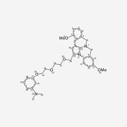 COc1cccc(CN(Cc2cccc(OC)c2)c2nc(COCCOCCOc3cccc(N(C)C)c3)cs2)c1